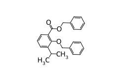 CC(C)c1cccc(C(=O)OCc2ccccc2)c1OCc1ccccc1